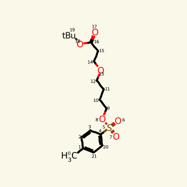 Cc1ccc(S(=O)(=O)OCCCCOCCC(=O)OC(C)(C)C)cc1